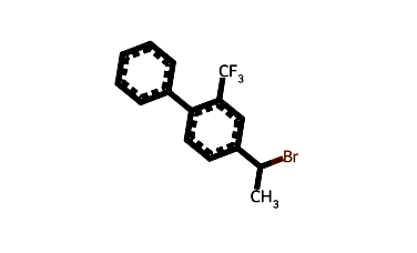 CC(Br)c1ccc(-c2ccccc2)c(C(F)(F)F)c1